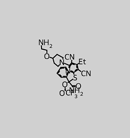 CCc1c(C#N)c(SC(OC(=O)C(F)(F)F)(C(N)=O)c2ccccc2)nc(N2CCC(OCCN)CC2)c1C#N